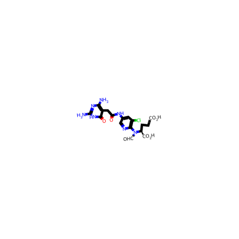 Nc1nc(N)c(CC(=O)Nc2cnc(N(C=O)[C@@H](CCC(=O)O)C(=O)O)c(Cl)c2)c(=O)[nH]1